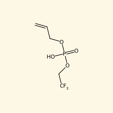 C=CCOP(=O)(O)OCC(F)(F)F